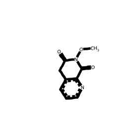 CON1C(=O)Cc2cccnc2C1=O